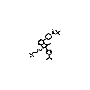 CC(C)(C)OC(=O)N1CCN(c2ccnc3c2c(Br)c(-c2cnn(C(F)F)c2)n3COCC[Si](C)(C)C)CC1